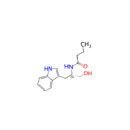 CCCC(=O)N[C@H](CO)Cc1c[nH]c2ccccc12